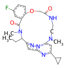 CCC1c2cc3nc(C4CC4)cc(n3n2)N(C)CCNC(=O)COc2ccc(F)cc2C(=O)N1C